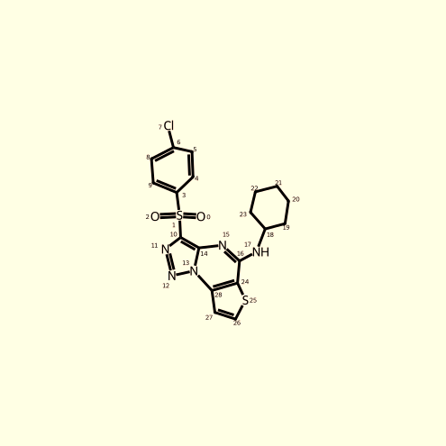 O=S(=O)(c1ccc(Cl)cc1)c1nnn2c1nc(NC1CCCCC1)c1sccc12